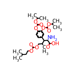 CC(C)CCOC(=O)OCC(C)C(c1ccc(OC(=O)OC(C)C)c(OC(=O)OC(C)C)c1)[C@H](N)C(=O)O